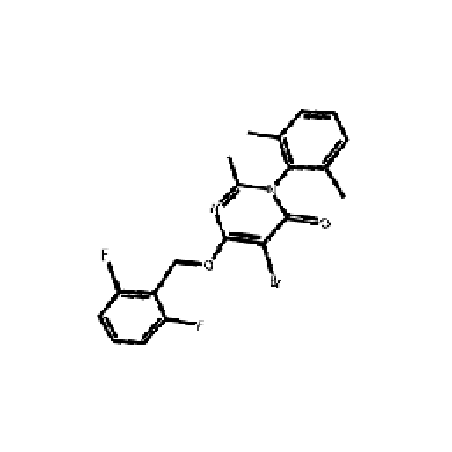 Cc1cccc(C)c1-n1c(C)nc(OCc2c(F)cccc2F)c(Br)c1=O